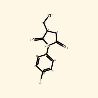 O=C1CC(CCl)C(=O)N1c1ccc(I)cc1